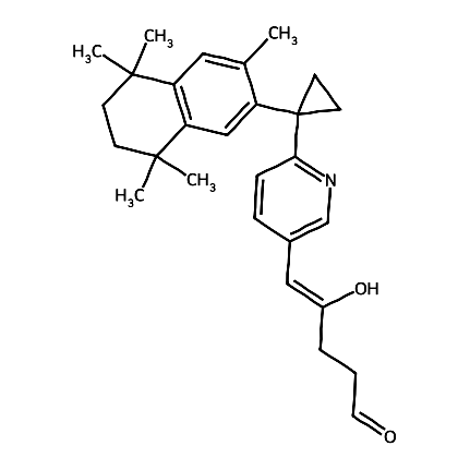 Cc1cc2c(cc1C1(c3ccc(/C=C(\O)CCC=O)cn3)CC1)C(C)(C)CCC2(C)C